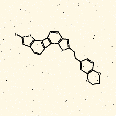 Fc1cc2ccc3c(c2s1)-c1ccc2cc(CCc4ccc5c(c4)OCCO5)sc2c1-3